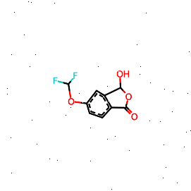 O=C1OC(O)c2cc(OC(F)F)ccc21